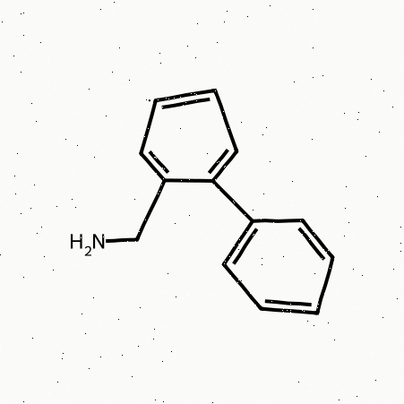 NCc1c[c]ccc1-c1ccccc1